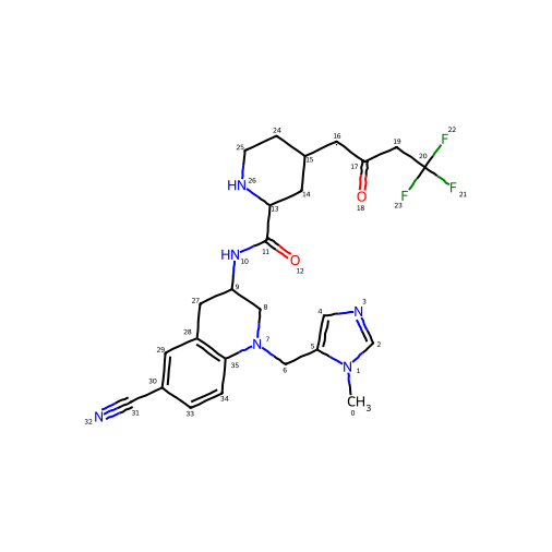 Cn1cncc1CN1CC(NC(=O)C2CC([CH]C(=O)CC(F)(F)F)CCN2)Cc2cc(C#N)ccc21